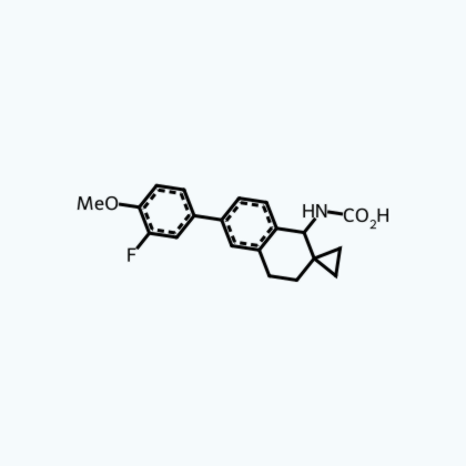 COc1ccc(-c2ccc3c(c2)CCC2(CC2)C3NC(=O)O)cc1F